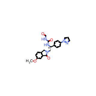 COc1ccc2c(c1)C(=O)N(C[C@H](NC(=O)NC=O)c1ccc(-n3cccn3)cc1)C2